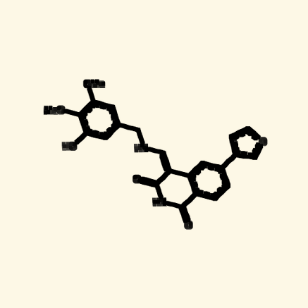 COc1cc(CN/C=C2\C(=O)NC(=O)c3ccc(-c4ccoc4)cc32)cc(O)c1OC